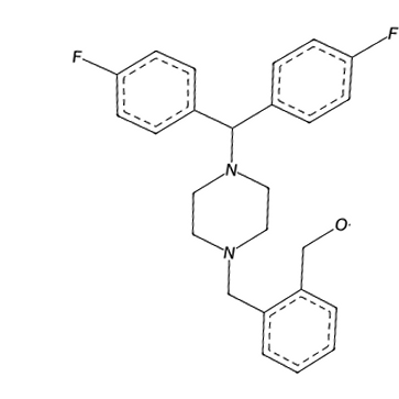 [O]Cc1ccccc1CN1CCN(C(c2ccc(F)cc2)c2ccc(F)cc2)CC1